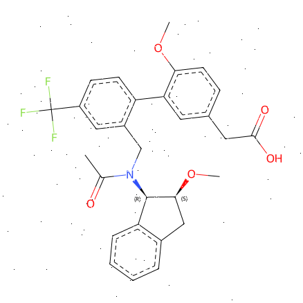 COc1ccc(CC(=O)O)cc1-c1ccc(C(F)(F)F)cc1CN(C(C)=O)[C@@H]1c2ccccc2C[C@@H]1OC